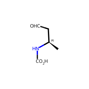 C[C@H](CC=O)NC(=O)O